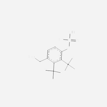 CC(C)(C)c1c(CO)ccc(OP(=O)(O)O)c1C(C)(C)C